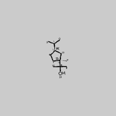 CC(C)[C@@H]1CC[C@](C)(C(C)(C)O)C1